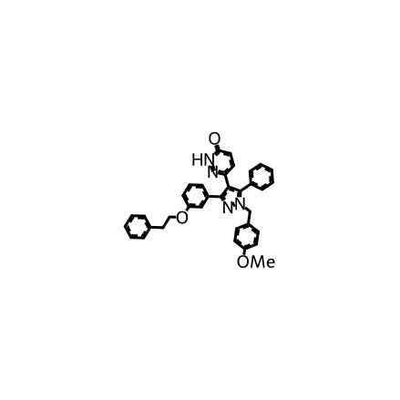 COc1ccc(Cn2nc(-c3cccc(OCCc4ccccc4)c3)c(-c3ccc(=O)[nH]n3)c2-c2ccccc2)cc1